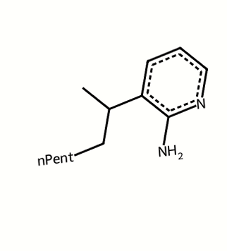 CCCCCCC(C)c1cccnc1N